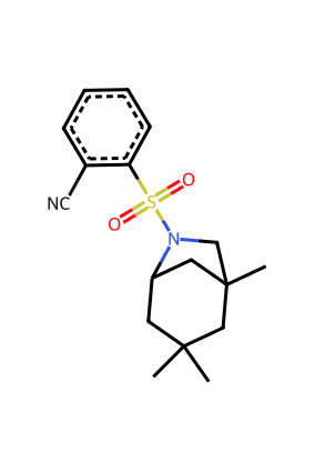 CC1(C)CC2CC(C)(CN2S(=O)(=O)c2ccccc2C#N)C1